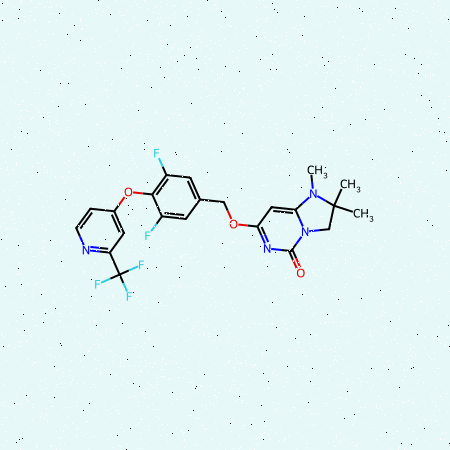 CN1c2cc(OCc3cc(F)c(Oc4ccnc(C(F)(F)F)c4)c(F)c3)nc(=O)n2CC1(C)C